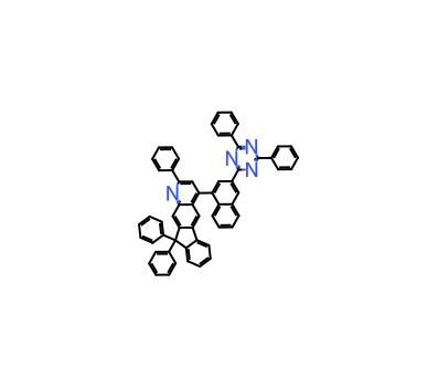 c1ccc(-c2cc(-c3cc(-c4nc(-c5ccccc5)nc(-c5ccccc5)n4)cc4ccccc34)c3cc4c(cc3n2)C(c2ccccc2)(c2ccccc2)c2ccccc2-4)cc1